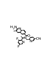 Cc1cc2cc(C(=O)N(Cc3ccc(C#N)cn3)[C@H](C)c3ncc(F)cc3F)ccc2nc1N